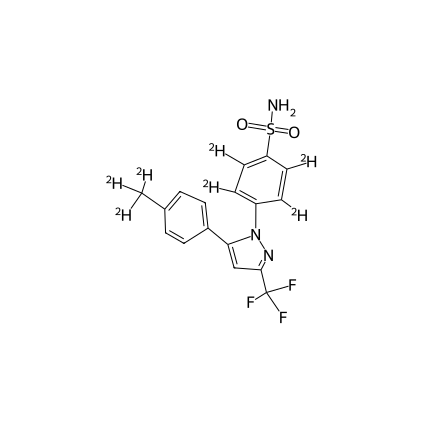 [2H]c1c([2H])c(S(N)(=O)=O)c([2H])c([2H])c1-n1nc(C(F)(F)F)cc1-c1ccc(C([2H])([2H])[2H])cc1